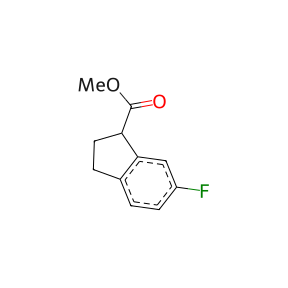 COC(=O)C1CCc2ccc(F)cc21